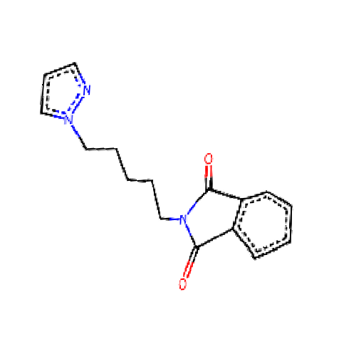 O=C1c2ccccc2C(=O)N1CCCCCn1cccn1